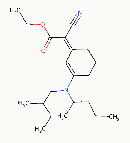 CCCC(C)N(CC(C)CC)C1=C/C(=C(/C#N)C(=O)OCC)CCC1